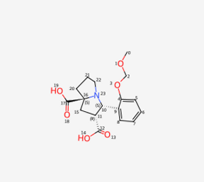 COCOc1ccccc1[C@@H]1[C@H](C(=O)O)C[C@]2(C(=O)O)CCCN12